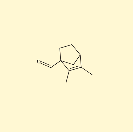 CC1=C(C)C2(C=O)CCC1C2